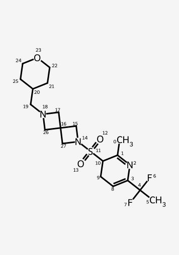 CC1=NC(C(C)(F)F)=CCC1S(=O)(=O)N1CC2(CN(CC3CCOCC3)C2)C1